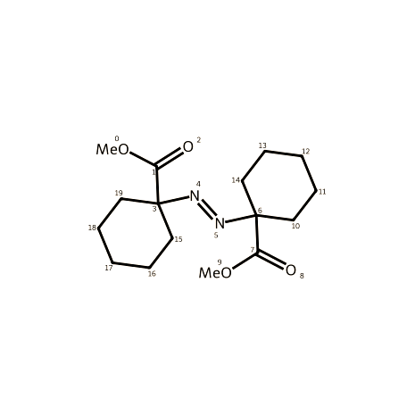 COC(=O)C1(N=NC2(C(=O)OC)CCCCC2)CCCCC1